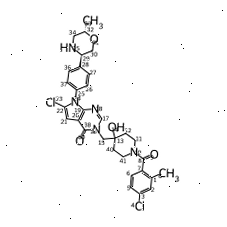 Cc1cc(Cl)ccc1C(=O)N1CCC(O)(Cn2cnc3c(cc(Cl)n3-c3ccc([C@@H]4CO[C@@H](C)CN4)cc3)c2=O)CC1